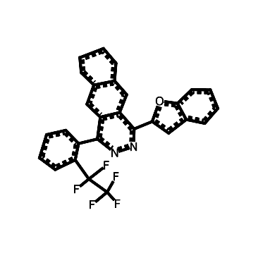 FC(F)(F)C(F)(F)c1ccccc1-c1nnc(-c2cc3ccccc3o2)c2cc3ccccc3cc12